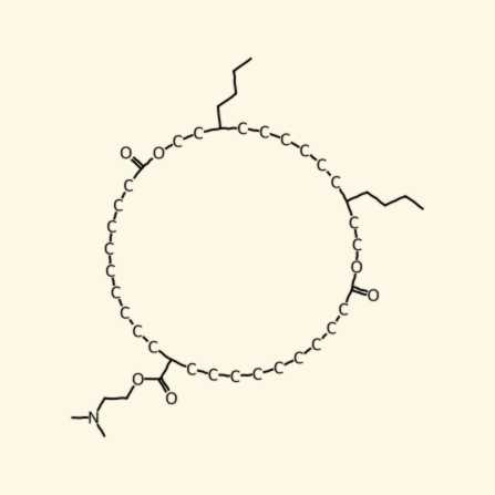 CCCCC1CCCCCCC(CCCC)CCOC(=O)CCCCCCCCCC(C(=O)OCCN(C)C)CCCCCCCCCC(=O)OCC1